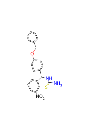 NC(=S)NC(c1ccc(OCc2ccccc2)cc1)c1cccc([N+](=O)[O-])c1